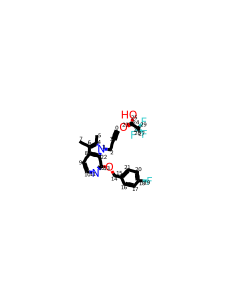 C#CCn1c(C)c(C)c2ccnc(OCc3ccc(F)cc3)c21.O=C(O)C(F)(F)F